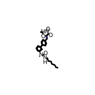 CCCCCCCNC(=O)N(C)c1cccc(-c2ccc(/C=C(\OCC)C(=O)NOC)cc2)c1